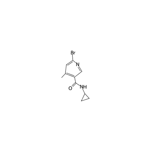 Cc1cc(Br)ncc1C(=O)NC1CC1